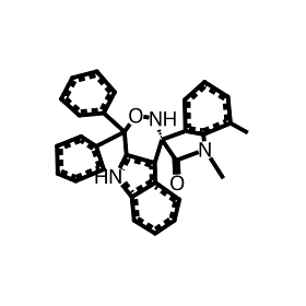 Cc1cccc2c1N(C)C(=O)[C@]21NOC(c2ccccc2)(c2ccccc2)c2[nH]c3ccccc3c21